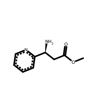 COC(=O)C[C@H](N)c1ccccn1